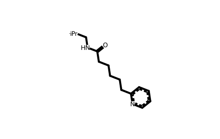 C[C](C)CNC(=O)CCCCCc1ccccn1